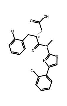 CN(C(=O)[C@@H](CC(=O)O)Cc1ccccc1Cl)c1nc(-c2ccccc2Cl)cs1